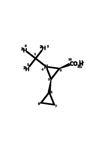 [2H]C([2H])([2H])N1[C@H](C2CC2)[C@@H]1C(=O)O.[Li]